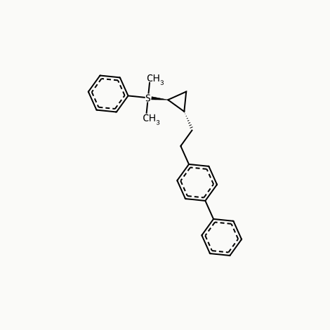 CS(C)(c1ccccc1)[C@H]1C[C@@H]1CCc1ccc(-c2ccccc2)cc1